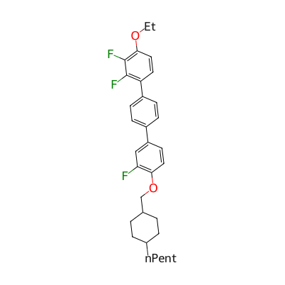 CCCCCC1CCC(COc2ccc(-c3ccc(-c4ccc(OCC)c(F)c4F)cc3)cc2F)CC1